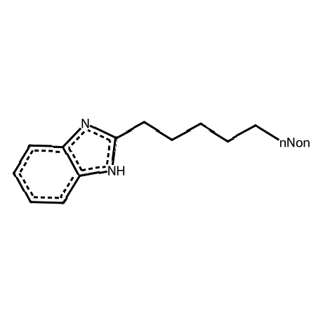 CCCCCCCCCCCCCCc1nc2ccccc2[nH]1